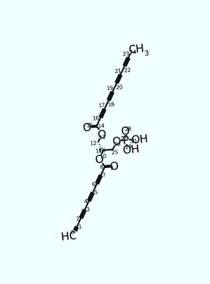 C#CC#CC#CC#CC(=O)O[C@H](COC(=O)C#CC#CC#CC#CC)COP(=O)(O)O